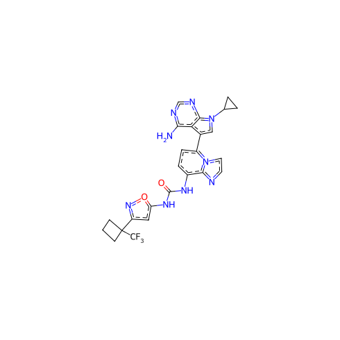 Nc1ncnc2c1c(-c1ccc(NC(=O)Nc3cc(C4(C(F)(F)F)CCC4)no3)c3nccn13)cn2C1CC1